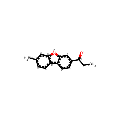 BCC(=O)c1ccc2c(c1)oc1cc(B)ccc12